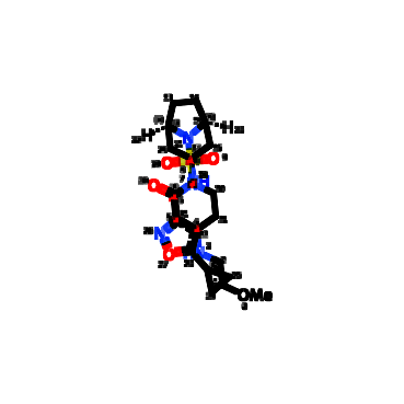 COCCNC1CCN(S(=O)(=O)N2[C@@H]3CC[C@H]2C[C@@H](NC(=O)c2cc(C4CC4)on2)C3)CC1